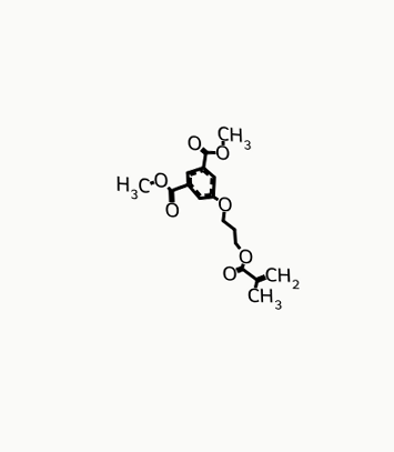 C=C(C)C(=O)OCCCOc1cc(C(=O)OC)cc(C(=O)OC)c1